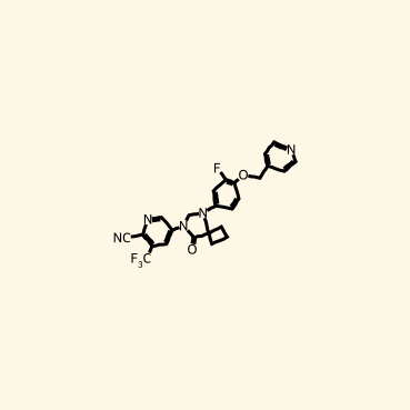 N#Cc1ncc(N2CN(c3ccc(OCc4ccncc4)c(F)c3)C3(CCC3)C2=O)cc1C(F)(F)F